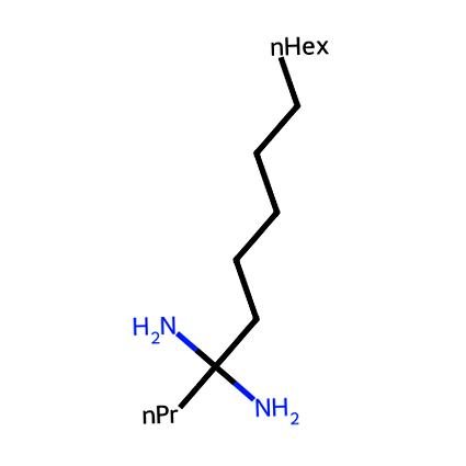 CCCCCCCCCCCC(N)(N)CCC